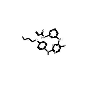 C=CC(=O)Nc1cccc(Nc2nc(Nc3ccc(OCCCI)cc3)ncc2F)c1